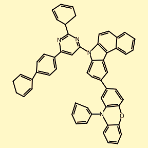 C1=CCC(c2nc(-c3ccc(C4=CCCC=C4)cc3)cc(-n3c4ccc(-c5ccc6c(c5)N(c5ccccc5)c5ccccc5O6)cc4c4c5ccccc5ccc43)n2)C=C1